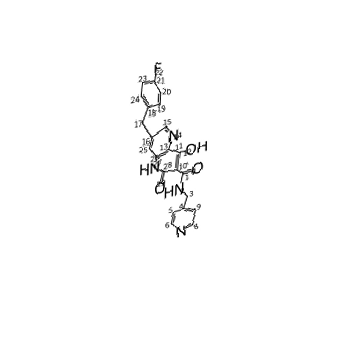 O=C(NCc1ccncc1)c1c(O)c2ncc(Cc3ccc(F)cc3)cc2[nH]c1=O